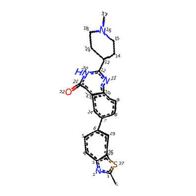 Cc1nc2ccc(-c3ccc4nc(C5CCN(C)CC5)[nH]c(=O)c4c3)cc2s1